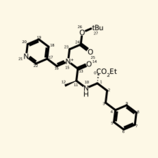 CCOC(=O)[C@H](CCc1ccccc1)N[C@@H](C)C(=O)[N+](=Cc1cccnc1)CC(=O)OC(C)(C)C